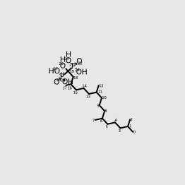 CC(C)CCCC(C)CCCC(C)CCCC(C)CC(O)(P(=O)(O)O)P(=O)(O)O